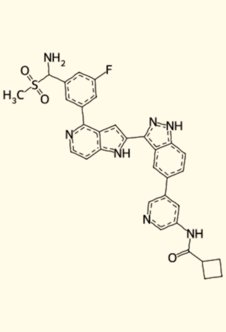 CS(=O)(=O)C(N)c1cc(F)cc(-c2nccc3[nH]c(-c4n[nH]c5ccc(-c6cncc(NC(=O)C7CCC7)c6)cc45)cc23)c1